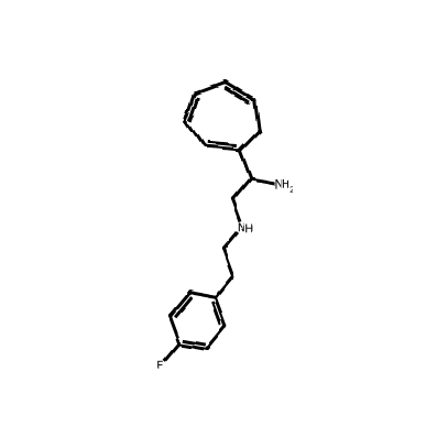 NC(CNCCc1ccc(F)cc1)C1=CC=CC=CC1